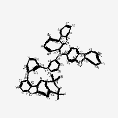 CC1(C)CC(C)(C)c2cc3c(cc21)oc1cccc(-c2cccc(-c4cccc(N(c5ccc6c(c5)oc5ccccc56)c5cccc6c5sc5ccccc56)c4)c2)c13